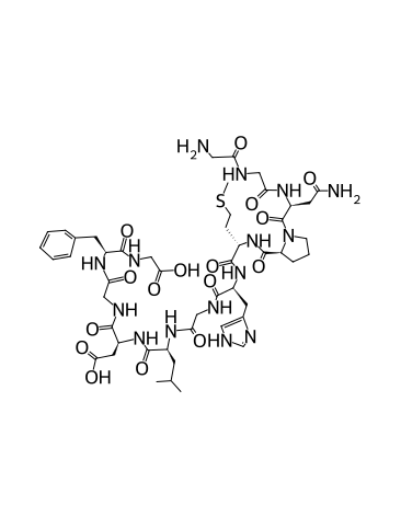 CSCC[C@H](NC(=O)[C@@H]1CCCN1C(=O)[C@H](CC(N)=O)NC(=O)CNC(=O)CN)C(=O)N[C@@H](Cc1c[nH]cn1)C(=O)NCC(=O)N[C@@H](CC(C)C)C(=O)N[C@@H](CC(=O)O)C(=O)NCC(=O)N[C@@H](Cc1ccccc1)C(=O)NCC(=O)O